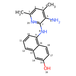 Cc1cc(C)c(N)c(Nc2cccc3cc(O)ccc23)n1